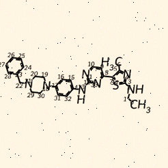 CCNc1nc(C)c(-c2ccnc(Nc3ccc(N4CCN(Cc5ccccc5)CC4)cc3)n2)s1